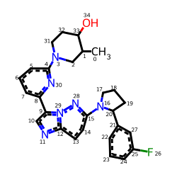 CC1CN(c2cccc(-c3cnc4ccc(N5CCCC5c5cccc(F)c5)nn34)n2)CCC1O